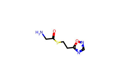 NCC(=O)SCCc1ncno1